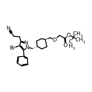 CC(C)(C)OC(=O)COC[C@H]1CC[C@H](Cn2nc(CCC#N)c(Br)c2-c2ccccc2)CC1